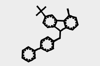 Cc1cccc2c1-c1cc(C(C)(C)C)ccc1C2Cc1ccc(-c2ccccc2)cc1